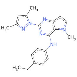 CCc1ccc(Nc2nc(-n3nc(C)cc3C)nc3ccn(C)c23)cc1